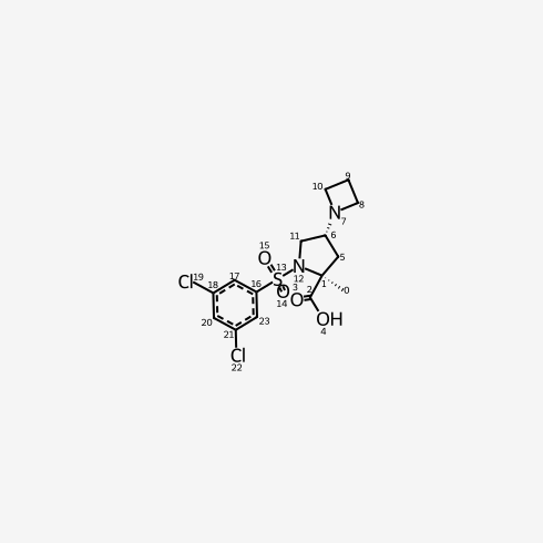 C[C@@]1(C(=O)O)C[C@@H](N2CCC2)CN1S(=O)(=O)c1cc(Cl)cc(Cl)c1